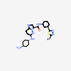 CC(C)c1nnc(-c2cccc(NC(=O)c3cnc4ccc(N[C@H]5CC[C@H](N)CC5)nn34)c2)s1